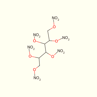 O=[N+]([O-])OCC(O[N+](=O)[O-])C(O[N+](=O)[O-])C(O[N+](=O)[O-])C(CO[N+](=O)[O-])O[N+](=O)[O-]